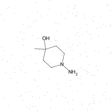 CC1(O)CCN(N)CC1